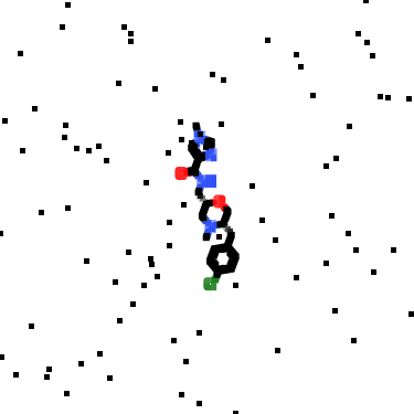 CN1C[C@H](CNC(=O)c2cn(C)cn2)OC[C@@H]1Cc1ccc(Cl)cc1